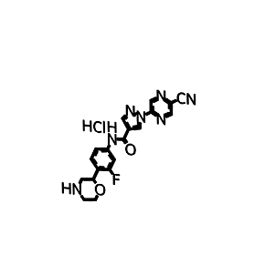 Cl.N#Cc1cnc(-n2cc(C(=O)Nc3ccc(C4CNCCO4)c(F)c3)cn2)cn1